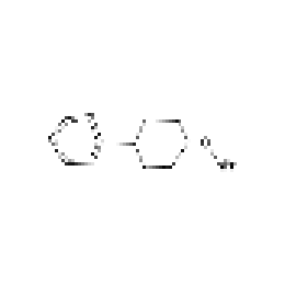 CCCOC1CCC(c2ccccc2)CC1